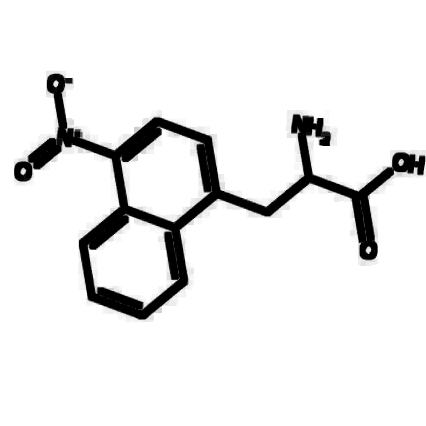 NC(Cc1ccc([N+](=O)[O-])c2ccccc12)C(=O)O